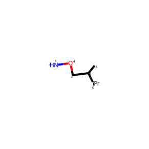 CC(C)C(C)CO[NH]